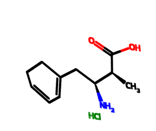 C[C@H](C(=O)O)[C@@H](N)CC1=CC=CCC1.Cl